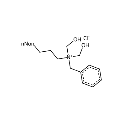 CCCCCCCCCCCC[N+](CO)(CO)Cc1ccccc1.[Cl-]